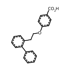 O=C(O)c1ccc(OCCc2ccccc2-c2ccccc2)cc1